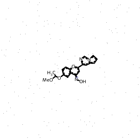 COC(C)Oc1ccc2oc(-c3cc4cccn4cn3)c/c(=N\O)c2c1